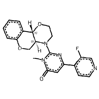 Cn1c(N2CCO[C@H]3c4ccccc4OC[C@@H]32)nc(-c2ccncc2F)cc1=O